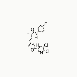 C=C(CC[C@H](C)C(=O)Nc1ccc(F)cc1)NC(=O)c1cnc(Cl)c(Cl)c1